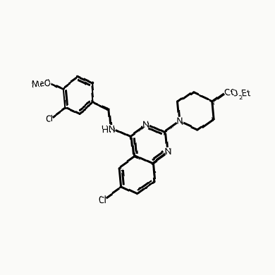 CCOC(=O)C1CCN(c2nc(NCc3ccc(OC)c(Cl)c3)c3cc(Cl)ccc3n2)CC1